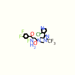 N[C@H](CC(=O)N1CCn2c(C(F)(F)F)nc(-c3ccncc3Cl)c2C1)C(=O)c1cc(F)c(F)cc1F